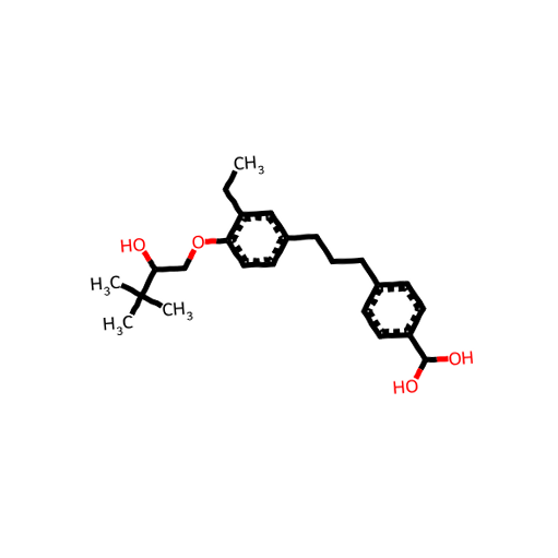 CCc1cc(CCCc2ccc(C(O)O)cc2)ccc1OCC(O)C(C)(C)C